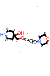 OC1(COCCCN2CCOCC2)CCNCC1